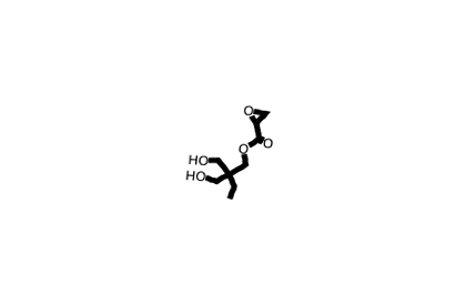 CCC(CO)(CO)COC(=O)C1CO1